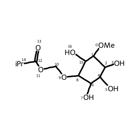 COC1C(O)C(O)C(O)C(OCOC(=O)C(C)C)C1O